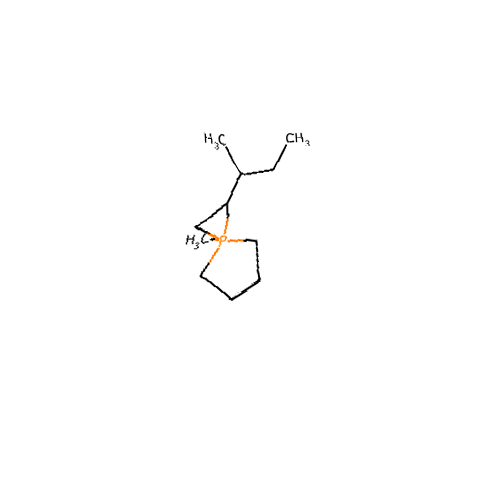 CCC(C)C1CP12(C)CCCC2